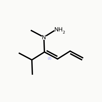 C=C/C=C(/C(C)C)N(C)N